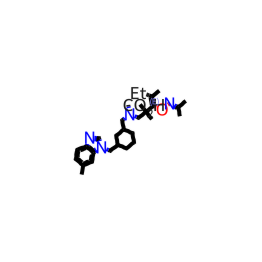 CC/C(C)=C(/ON=C(C)C)C(C)(C)CN(CC1CCCC(Cn2cnc3ccc(C)cc32)C1)C(=O)O